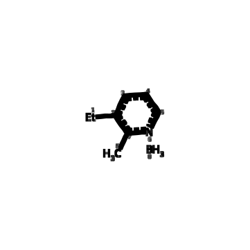 B.CCc1cccnc1C